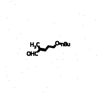 CCCCOCC/C=C(\C)C=O